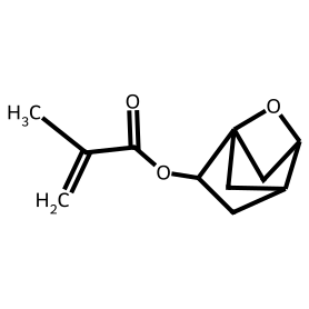 C=C(C)C(=O)OC1CC2CC13CC2O3